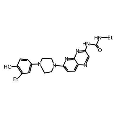 CCNC(=O)Nc1cnc2ccc(N3CCN(c4ccc(O)c(CC)c4)CC3)nc2n1